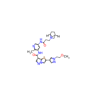 COCCn1cc(-c2cn3ncc(C(=O)Nc4cc(NC(=O)CCN5C[C@H]6CC[C@@H]5C6)cnc4C)c3s2)cn1